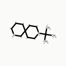 CC(C)(C)N1CCC2(CCCOC2)CC1